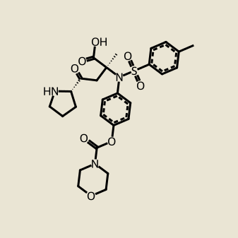 Cc1ccc(S(=O)(=O)N(c2ccc(OC(=O)N3CCOCC3)cc2)[C@@](C)(CC(=O)[C@@H]2CCCN2)C(=O)O)cc1